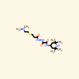 CN(C)CCSCCC(=O)NNC(=O)C(=O)NC1CC(C)(C)NC(C)(C)C1